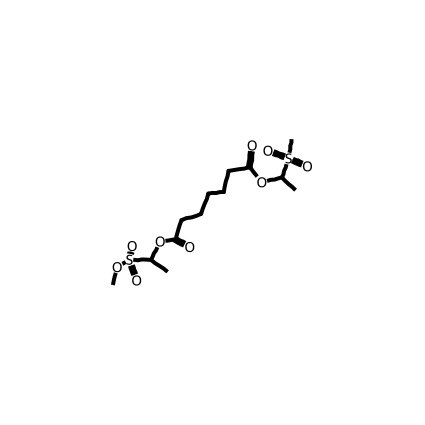 COS(=O)(=O)C(C)OC(=O)CCCCCC(=O)OC(C)S(C)(=O)=O